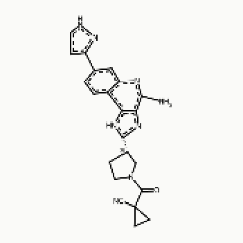 N#CC1(C(=O)N2CC[C@H](c3nc4c(N)nc5cc(-c6cc[nH]n6)ccc5c4[nH]3)C2)CC1